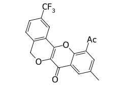 CC(=O)c1cc(C)cc2c(=O)c3c(oc12)-c1cc(C(F)(F)F)ccc1CO3